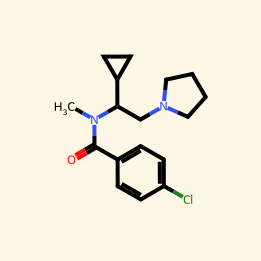 CN(C(=O)c1ccc(Cl)cc1)C(CN1CCCC1)C1CC1